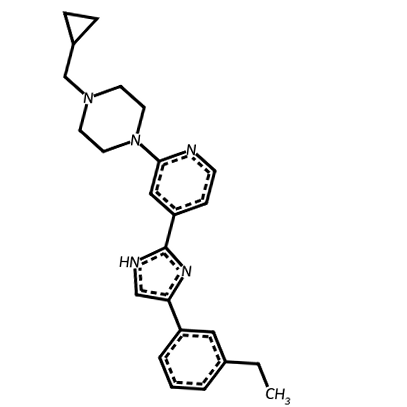 CCc1cccc(-c2c[nH]c(-c3ccnc(N4CCN(CC5CC5)CC4)c3)n2)c1